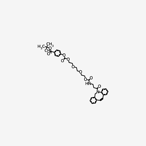 CC(C)(C)OC(=O)c1ccc(OC(=O)OCCOCCOCCOC(=O)NCCC(=O)N2Cc3ccccc3C#Cc3ccccc32)cc1